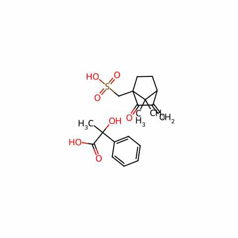 C=C1C(=O)C2(CS(=O)(=O)O)CCC1C2(C)C.CC(O)(C(=O)O)c1ccccc1